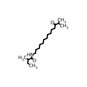 CCC(C)C(=O)NCCCCCCCCCCCC(=O)C(C)C